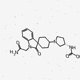 NC(=O)CN1C(=O)C2(CCC(N3CC[C@H](NC(=O)O)C3)CC2)c2ccccc21